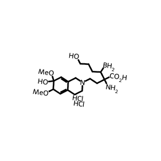 BC(CCCO)C(N)(CCN1CCC2=CC(OC)C(O)(OC)C=C2C1)C(=O)O.Cl.Cl